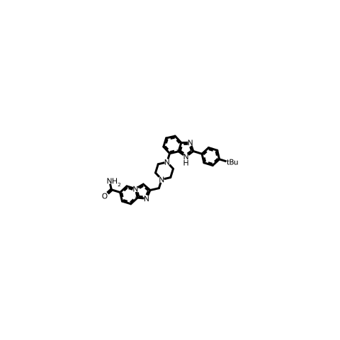 CC(C)(C)c1ccc(-c2nc3cccc(N4CCN(Cc5cn6cc(C(N)=O)ccc6n5)CC4)c3[nH]2)cc1